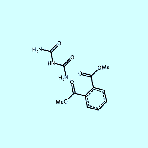 COC(=O)c1ccccc1C(=O)OC.NC(=O)NC(N)=O